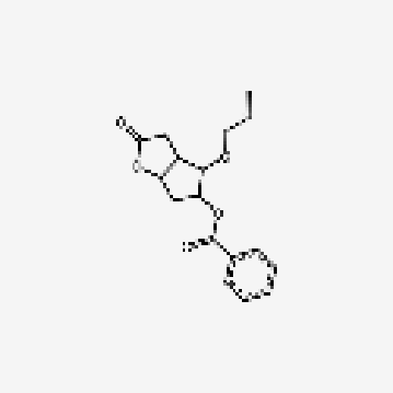 C=CCOC1C(OC(=O)c2ccccc2)CC2OC(=O)CC21